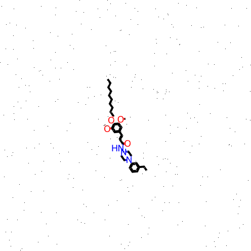 CCCCCCCCCCOc1c(OC)cc(/C=C/C(=O)NN2CCN(c3cccc(CC)c3)CC2)cc1OC